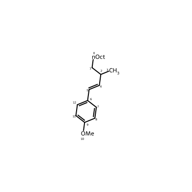 CCCCCCCCCC(C)C=Cc1ccc(OC)cc1